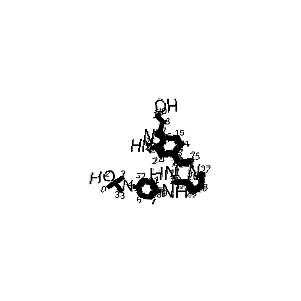 CC1(O)CN(c2ccc(NC3NC(c4ccc5c(CCO)n[nH]c5c4)=Cn4cccc43)cc2)C1